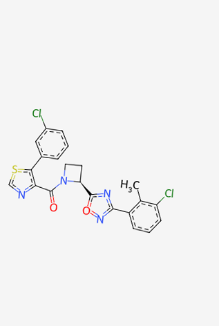 Cc1c(Cl)cccc1-c1noc([C@@H]2CCN2C(=O)c2ncsc2-c2cccc(Cl)c2)n1